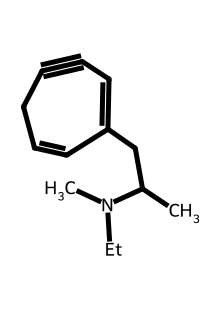 CCN(C)C(C)CC1=CC#CCC=C1